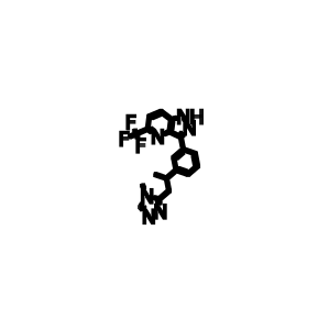 CC(Cc1nncn1C)c1cccc(-c2n[nH]c3ccc(C(F)(F)F)nc23)c1